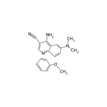 CN(C)c1ccc2ncc(C#N)c(N)c2c1.COc1ccccc1